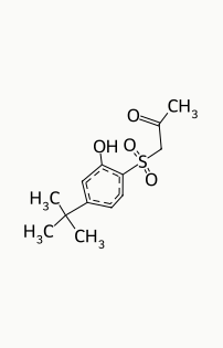 CC(=O)CS(=O)(=O)c1ccc(C(C)(C)C)cc1O